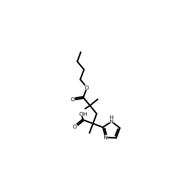 CCCCOC(=O)C(C)(C)CC(C)(C(=O)O)c1ncc[nH]1